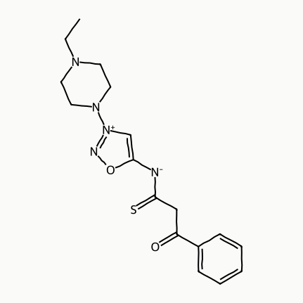 CCN1CCN([n+]2cc([N-]C(=S)CC(=O)c3ccccc3)on2)CC1